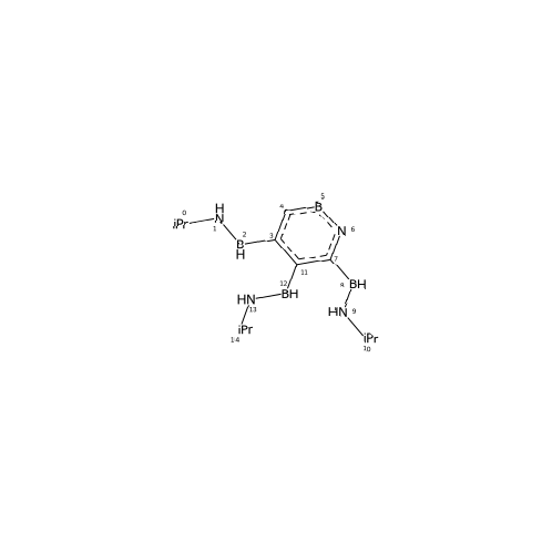 CC(C)NBc1cbnc(BNC(C)C)c1BNC(C)C